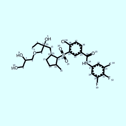 CC[C@@](O)(COCC(O)CO)C[C@@H]1CCC(C)C1S(=O)(=O)c1cc(C(=O)Nc2cc(F)c(F)c(F)c2)ccc1Cl